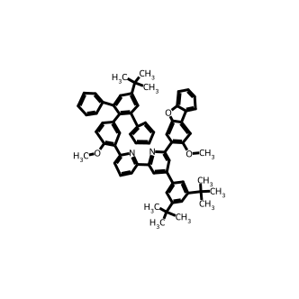 COc1ccc(-c2c(-c3ccccc3)cc(C(C)(C)C)cc2-c2ccccc2)cc1-c1cccc(-c2cc(-c3cc(C(C)(C)C)cc(C(C)(C)C)c3)cc(-c3cc4oc5ccccc5c4cc3OC)n2)n1